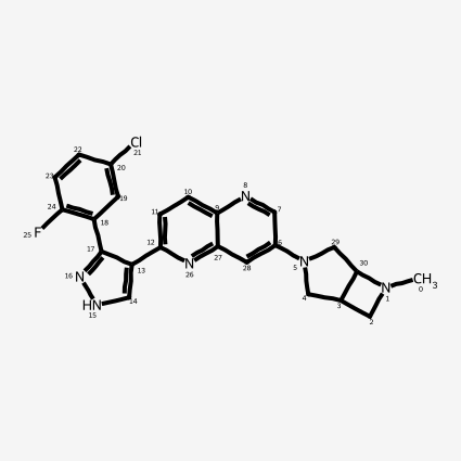 CN1CC2CN(c3cnc4ccc(-c5c[nH]nc5-c5cc(Cl)ccc5F)nc4c3)CC21